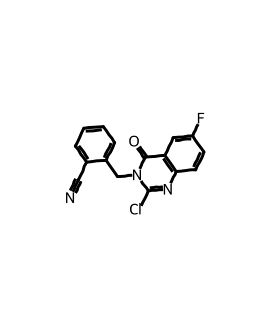 N#Cc1ccccc1Cn1c(Cl)nc2ccc(F)cc2c1=O